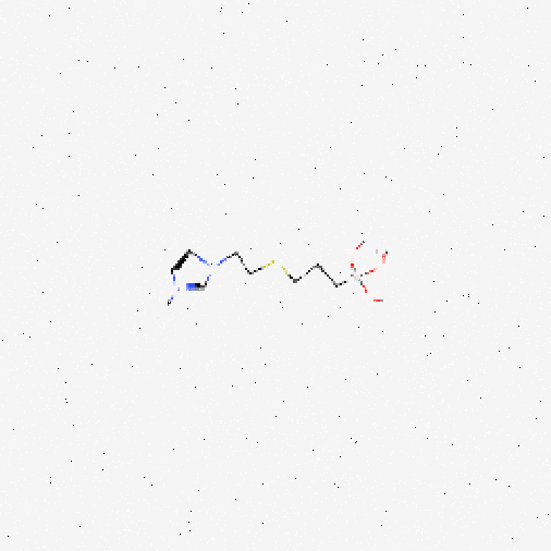 CO[Si](CCCSCCn1cc[n+](C)c1)(OC)OC